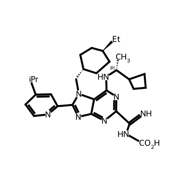 CC[C@H]1CC[C@H](Cn2c(-c3cc(C(C)C)ccn3)nc3nc(C(=N)NC(=O)O)nc(N[C@H](C)C4CCC4)c32)CC1